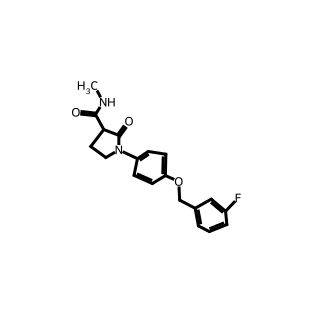 CNC(=O)C1CCN(c2ccc(OCc3cccc(F)c3)cc2)C1=O